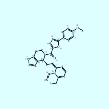 CCC1=CC=C/C(=C/C[C@H]2c3nc[nH]c3CCN2C(=O)c2nnc(-c3ccc(OC)nc3)o2)N1N=S